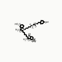 CC[N+]1=C(/C=C/C=C/C=C2\N(CCCCCC(=O)NCC(=O)NCCc3ccc(O)cc3)c3ccc(S(=O)(=O)O)cc3C2(C)C)C(C)(C)c2cc(S(=O)(=O)[O-])ccc21